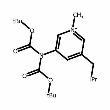 CC(C)Cc1cc(N(C(=O)OC(C)(C)C)C(=O)OC(C)(C)C)c[n+](C)c1